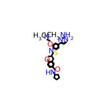 CN(C)CCOc1cc(-c2ccnc(N)n2)cc2sc(C3COc4ccc(C(=O)NC5CCCC5)cc4C3)nc12